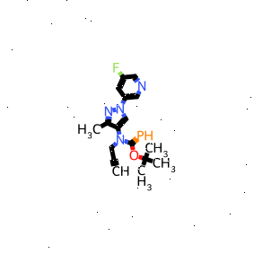 C#CCN(C(=P)OC(C)(C)C)c1cn(-c2cncc(F)c2)nc1C